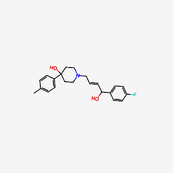 Cc1ccc(C2(O)CCN(CC=CC(O)c3ccc(F)cc3)CC2)cc1